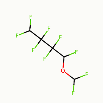 F[C](F)C(F)(F)C(F)(F)[C](F)OC(F)F